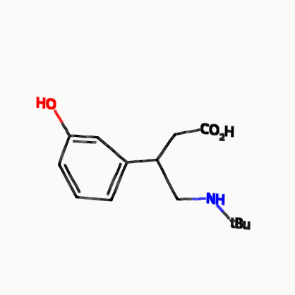 CC(C)(C)NCC(CC(=O)O)c1cccc(O)c1